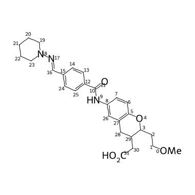 COCCC1Oc2ccc(NC(=O)c3ccc(C=NN4CCCCC4)cc3)cc2CC1CC(=O)O